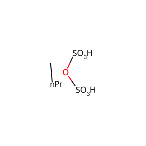 CCCC.O=S(=O)(O)OS(=O)(=O)O